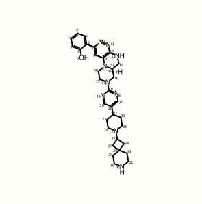 Oc1ccccc1-c1cc2c(nn1)NC[C@H]1CN(c3ncc(C4CCN(C5CC6(CCNCC6)C5)CC4)cn3)CCN21